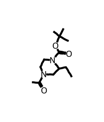 CCC1CN(C(C)=O)CCN1C(=O)OC(C)(C)C